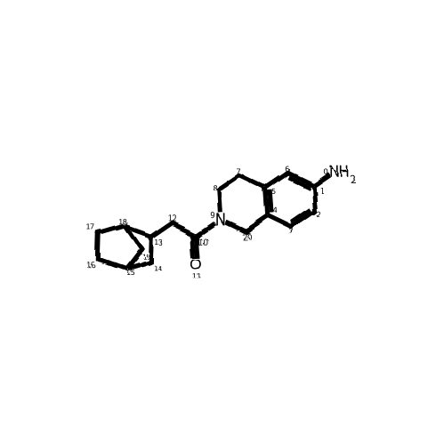 Nc1ccc2c(c1)CCN(C(=O)CC1CC3CCC1C3)C2